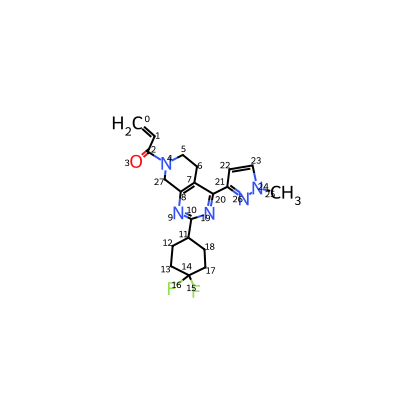 C=CC(=O)N1CCc2c(nc(C3CCC(F)(F)CC3)nc2-c2ccn(C)n2)C1